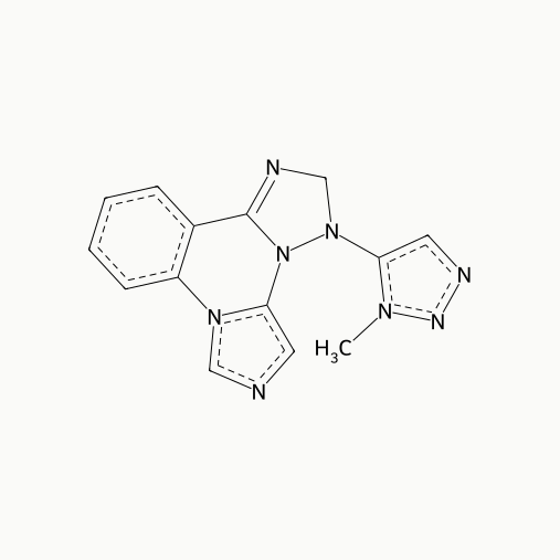 Cn1nncc1N1CN=C2c3ccccc3-n3cncc3N21